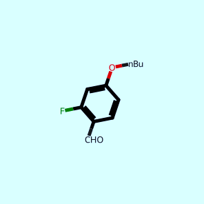 CCCCOc1ccc(C=O)c(F)c1